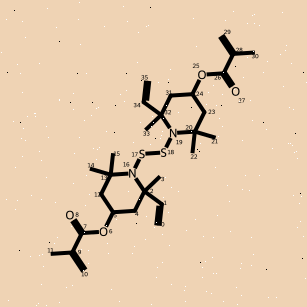 C=CC1(C)CC(OC(=O)C(=C)C)CC(C)(C)N1SSN1C(C)(C)CC(OC(=O)C(=C)C)CC1(C)C=C